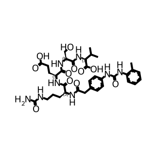 Cc1ccccc1NC(=O)Nc1ccc(CC(=O)N[C@@H](CCCNC(N)=O)C(=O)N[C@@H](CCC(=O)O)C(=O)N[C@@H](CO)C(=O)N[C@H](C(=O)O)C(C)C)cc1